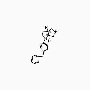 CN1C[C@H]2CCN(c3ccc(Cc4ccccc4)cc3)[C@H]2C1